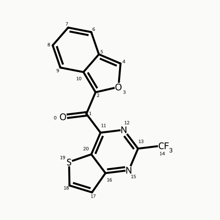 O=C(c1occ2ccccc12)c1nc(C(F)(F)F)nc2ccsc12